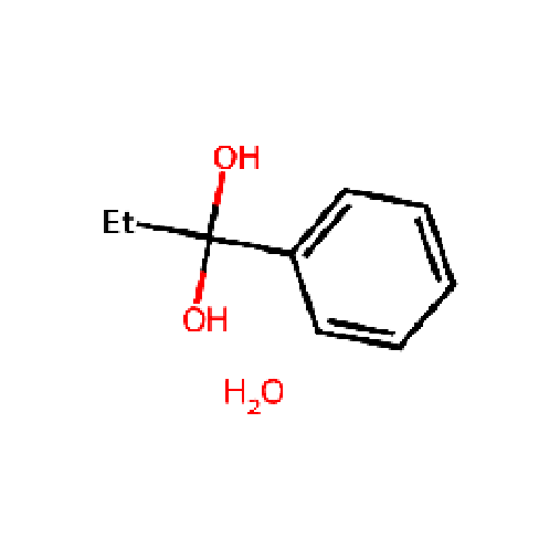 CCC(O)(O)c1ccccc1.O